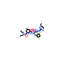 CCCN(CCC)C(=O)c1cc(C)cc(C(=O)N[C@@H](Cc2cc(F)cc(F)c2)[C@H](O)CNCc2nccc(CC)n2)c1